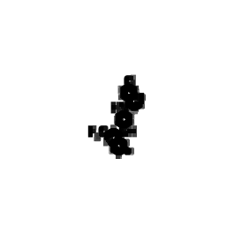 Cc1ccc2nc(C(F)(F)F)cc(NC3CCC(Nc4ccnc5cc(Cl)ccc45)CC3)c2c1